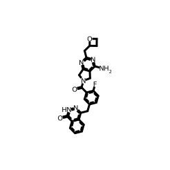 Nc1nc(CC2CCO2)nc2c1CN(C(=O)c1cc(Cc3n[nH]c(=O)c4ccccc34)ccc1F)C2